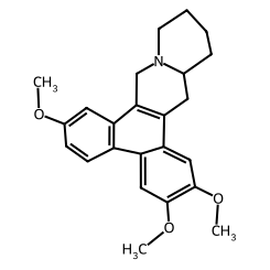 COc1ccc2c(c1)c1c(c3cc(OC)c(OC)cc32)CC2CCCCN2C1